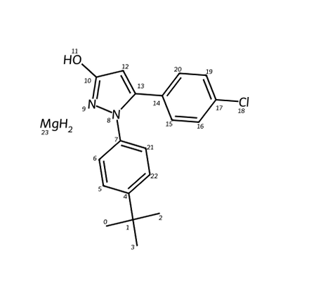 CC(C)(C)c1ccc(-n2nc(O)cc2-c2ccc(Cl)cc2)cc1.[MgH2]